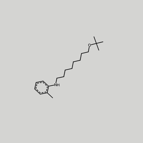 Cc1ccccc1NCCCCCCCCOC(C)(C)C